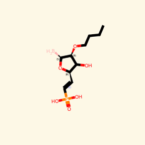 B[C@@H]1O[C@H](/C=C/P(=O)(O)O)C(O)[C@@H]1OCCCC